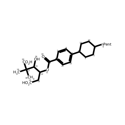 CCCCCC1CCC(c2ccc(C(=O)OC(CC(=O)O)C(O)C(C)(C)C(=O)O)cc2)CC1